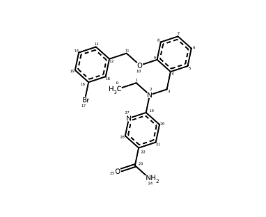 CCN(Cc1ccccc1OCc1cccc(Br)c1)c1ccc(C(N)=O)cn1